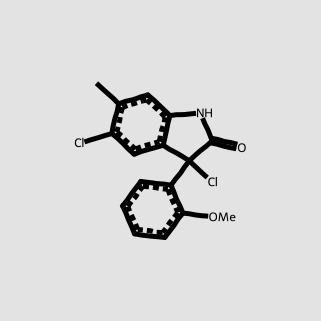 COc1ccccc1C1(Cl)C(=O)Nc2cc(C)c(Cl)cc21